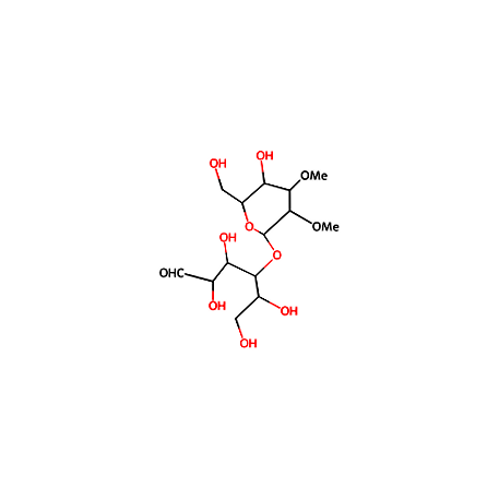 COC1C(OC(C(O)CO)C(O)C(O)C=O)OC(CO)C(O)C1OC